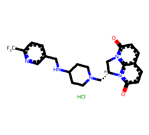 Cl.O=c1ccc2ccc(=O)n3c2n1C[C@H]3CN1CCC(NCc2ccc(C(F)(F)F)nc2)CC1